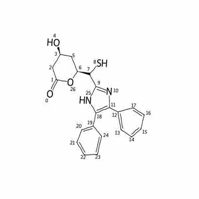 O=C1C[C@@H](O)C[C@@H](C(S)c2nc(-c3ccccc3)c(-c3ccccc3)[nH]2)O1